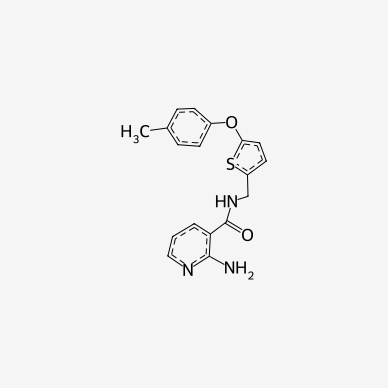 Cc1ccc(Oc2ccc(CNC(=O)c3cccnc3N)s2)cc1